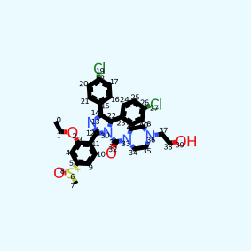 CCOc1cc([S+](C)[O-])ccc1C1=NC(c2ccc(Cl)cc2)C(c2ccc(Cl)cc2)N1C(=O)N1CCN(CCO)CC1